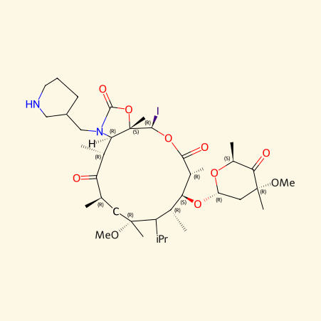 CO[C@]1(C)C[C@H](O[C@H]2[C@H](C)C(C(C)C)[C@](C)(OC)C[C@@H](C)C(=O)[C@H](C)[C@H]3N(CC4CCCNC4)C(=O)O[C@]3(C)[C@@H](I)OC(=O)[C@@H]2C)O[C@@H](C)C1=O